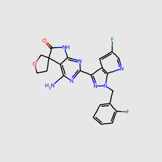 Nc1nc(-c2nn(Cc3ccccc3F)c3ncc(F)cc23)nc2c1C1(CCOC1)C(=O)N2